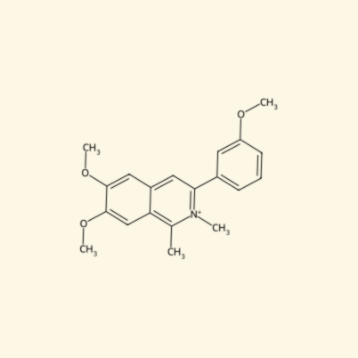 COc1cccc(-c2cc3cc(OC)c(OC)cc3c(C)[n+]2C)c1